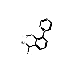 COc1c(-c2ccncn2)cccc1C(C)C